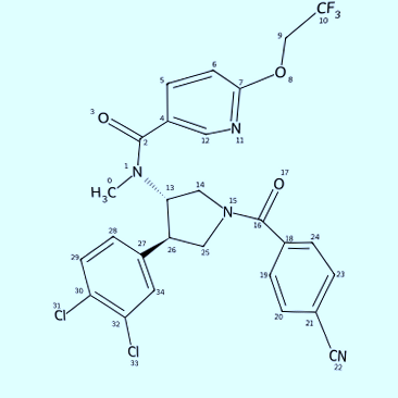 CN(C(=O)c1ccc(OCC(F)(F)F)nc1)[C@@H]1CN(C(=O)c2ccc(C#N)cc2)C[C@H]1c1ccc(Cl)c(Cl)c1